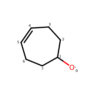 [O]C1CCC=CCC1